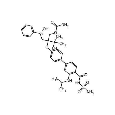 CC(C)Nc1cc(-c2ccc(OC(COC(N)=O)(C[C@@H](O)c3ccccc3)C(C)(C)C)cc2)ccc1C(=O)NS(C)(=O)=O